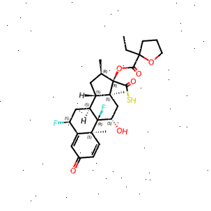 CCC1(C(=O)O[C@]2(C(=O)S)[C@H](C)C[C@H]3[C@@H]4C[C@H](F)C5=CC(=O)C=C[C@]5(C)[C@@]4(F)[C@@H](O)C[C@@]32C)CCCO1